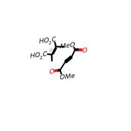 C/C(C(=O)O)=C(\C)C(=O)O.COC(=O)C#CC(=O)OC